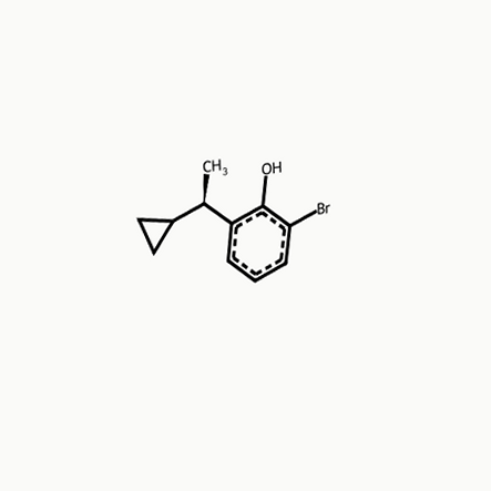 C[C@@H](c1cccc(Br)c1O)C1CC1